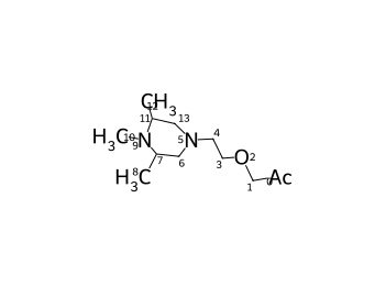 CC(=O)COCCN1CC(C)N(C)C(C)C1